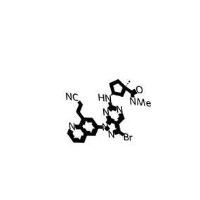 CNC(=O)[C@]1(C)CC[C@@H](Nc2ncc3c(Br)nn(-c4cc(CCC#N)c5ncccc5c4)c3n2)C1